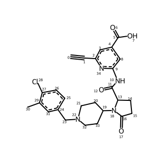 C#Cc1cc(C(=O)O)cc(NC(=O)C2CCC(=O)N2C2CCN(Cc3ccc(Cl)c(C)c3)CC2)n1